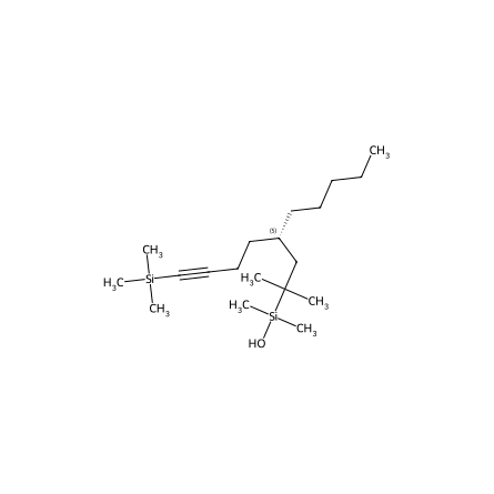 CCCCC[C@@H](CCC#C[Si](C)(C)C)CC(C)(C)[Si](C)(C)O